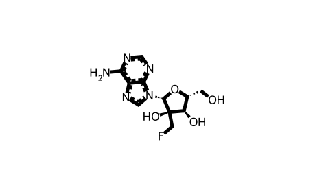 Nc1ncnc2c1ncn2[C@@H]1O[C@H](CO)[C@@H](O)[C@]1(O)CF